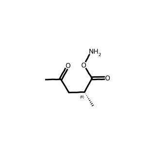 CC(=O)C[C@@H](C)C(=O)ON